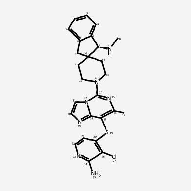 CN[C@@H]1c2ccccc2CC12CCN(c1nc(C)c(Sc3ccnc(N)c3Cl)c3nccn13)CC2